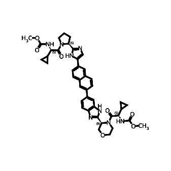 COC(=O)N[C@H](C(=O)N1CCC[C@H]1c1ncc(-c2ccc3cc(-c4ccc5nc([C@@H]6COCCN6C(=O)[C@@H](NC(=O)OC)C6CC6)[nH]c5c4)ccc3c2)[nH]1)C1CC1